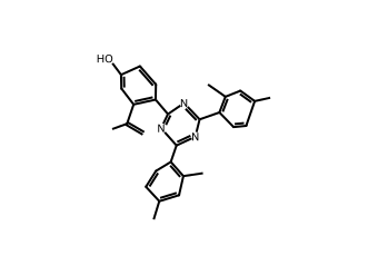 C=C(C)c1cc(O)ccc1-c1nc(-c2ccc(C)cc2C)nc(-c2ccc(C)cc2C)n1